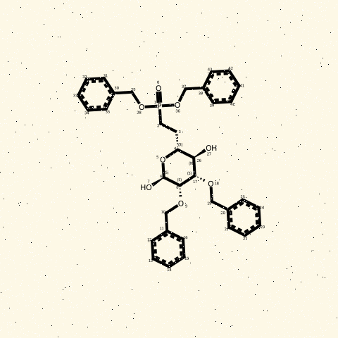 O=P(CC[C@H]1O[C@H](O)[C@@H](OCc2ccccc2)[C@@H](OCc2ccccc2)[C@@H]1O)(OCc1ccccc1)OCc1ccccc1